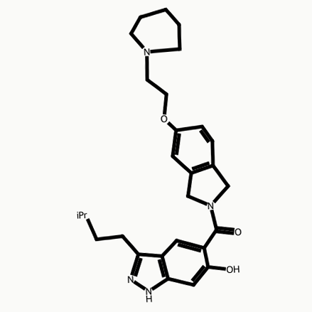 CC(C)CCc1n[nH]c2cc(O)c(C(=O)N3Cc4ccc(OCCN5CCCCC5)cc4C3)cc12